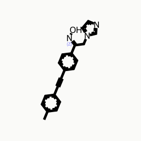 Cc1ccc(C#Cc2ccc(/C(Cn3ccnc3)=N/O)cc2)cc1